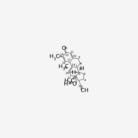 C#C[C@]1([16OH])CC[C@H]2[C@@H]3CCC4=CC(=O)C(C)=C[C@]4(C)C3=CC[C@@]21C